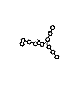 CC1(C)c2cc(-c3ccc(-c4cccc5ccccc45)cc3)ccc2-c2ccc(N(c3ccc(-c4ccc(-c5ccccc5)cc4)cc3)c3ccc(-c4ccc(-c5ccccc5)cc4)cc3)cc21